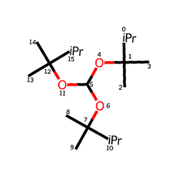 CC(C)C(C)(C)OC(OC(C)(C)C(C)C)OC(C)(C)C(C)C